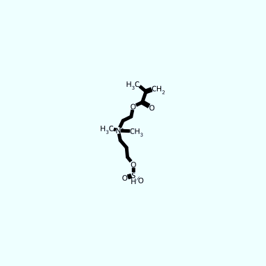 C=C(C)C(=O)OCC[N+](C)(C)CCCO[SH](=O)=O